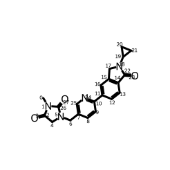 CN1C(=O)CN(Cc2ccc(-c3ccc4c(c3)CN(C3CC3)C4=O)nc2)C1=O